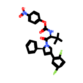 CC(C)(C)[C@H](NC(=O)Oc1ccc([N+](=O)[O-])cc1)C(=O)N1CC(c2cc(F)ccc2F)=C[C@H]1c1ccccc1